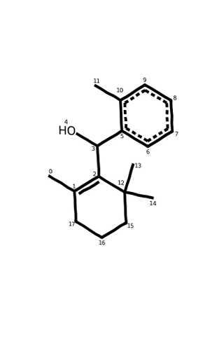 CC1=C(C(O)c2ccccc2C)C(C)(C)CCC1